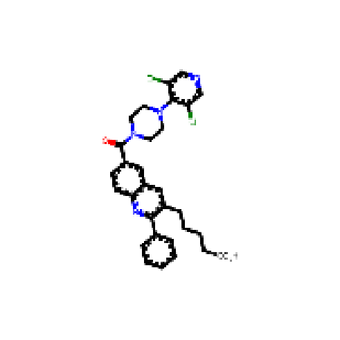 O=C(O)CCCCc1cc2cc(C(=O)N3CCN(c4c(Cl)cncc4Cl)CC3)ccc2nc1-c1ccccc1